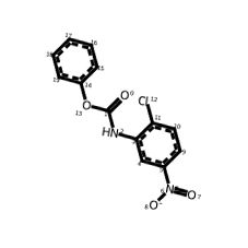 O=C(Nc1cc([N+](=O)[O-])ccc1Cl)Oc1ccccc1